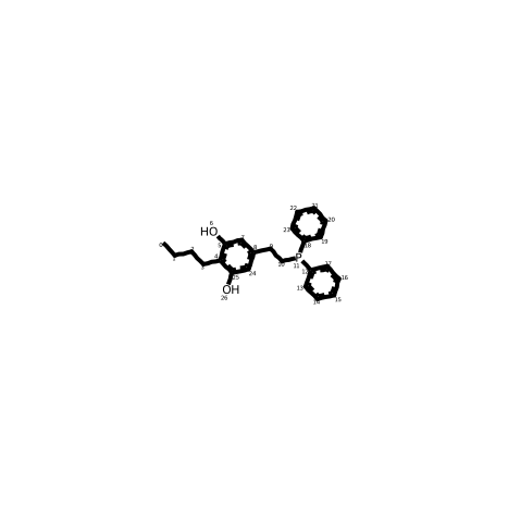 CCCCc1c(O)cc(CCP(c2ccccc2)c2ccccc2)cc1O